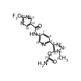 Cn1nnc(-c2ccc(NC(=O)c3cnc(C(F)(F)F)nc3)cn2)c1OC(N)=O